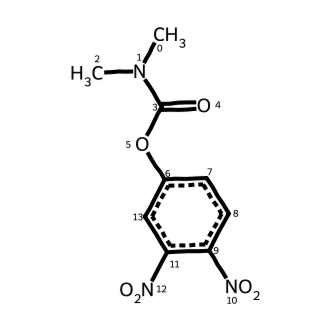 CN(C)C(=O)Oc1ccc([N+](=O)[O-])c([N+](=O)[O-])c1